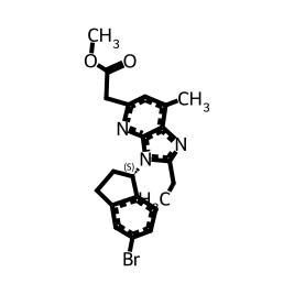 CCc1nc2c(C)cc(CC(=O)OC)nc2n1[C@H]1CCc2cc(Br)ccc21